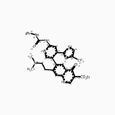 CCOC(=O)c1c[nH]c2cc(CCN(C)C)c(-c3cnc(NC(=O)NC(C)C)cc3-c3nc(C(F)(F)F)cs3)cc2c1=O